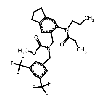 CCCN(C(=O)CC)c1cc2c(cc1CN(Cc1cc(C(F)(F)F)cc(C(F)(F)F)c1)C(=O)OC)CCC2